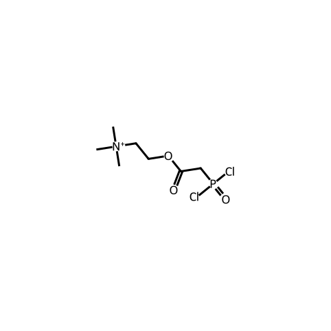 C[N+](C)(C)CCOC(=O)CP(=O)(Cl)Cl